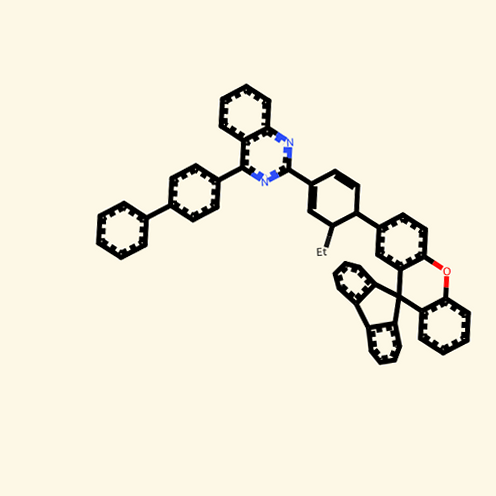 CCC1C=C(c2nc(-c3ccc(-c4ccccc4)cc3)c3ccccc3n2)C=CC1c1ccc2c(c1)C1(c3ccccc3O2)c2ccccc2-c2ccccc21